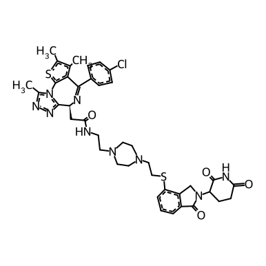 Cc1sc2c(c1C)C(c1ccc(Cl)cc1)=N[C@@H](CC(=O)NCCN1CCN(CCSc3cccc4c3CN(C3CCC(=O)NC3=O)C4=O)CC1)c1nnc(C)n1-2